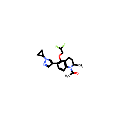 CC(=O)N1c2ccc(-c3cnn(C4CC4)c3)c(OCC(F)F)c2CCC1C